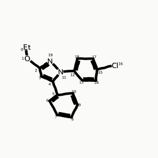 CCOc1cc(-c2ccccc2)n(-c2ccc(Cl)cc2)n1